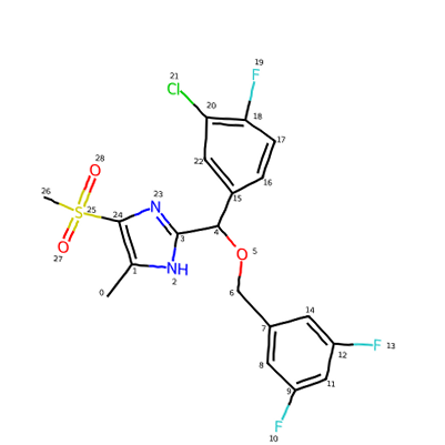 Cc1[nH]c(C(OCc2cc(F)cc(F)c2)c2ccc(F)c(Cl)c2)nc1S(C)(=O)=O